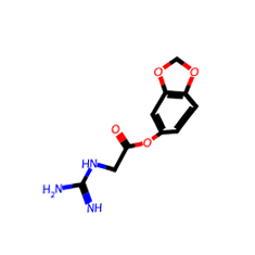 N=C(N)NCC(=O)Oc1ccc2c(c1)OCO2